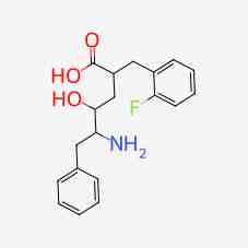 NC(Cc1ccccc1)C(O)CC(Cc1ccccc1F)C(=O)O